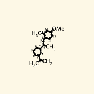 C=C(C)c1cccc(/C(C)=N/c2ccc(OC)cc2C)n1